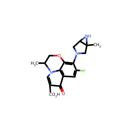 CC1COc2c(N3CC4NC4(C)C3)c(F)cc3c(=O)c(C(=O)O)cn1c23